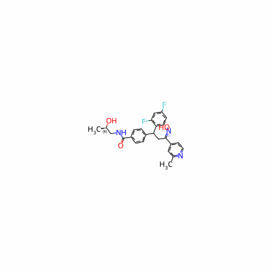 Cc1cc(/C(CC(c2ccc(C(=O)NC[C@@H](C)O)cc2)c2ccc(F)cc2F)=N/O)ccn1